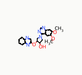 COc1cc2ncnc(N3CC(O)C(Oc4cnc5ccccc5n4)C3)c2cc1OC